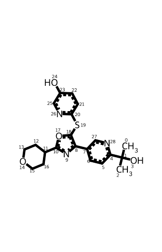 CC(C)(O)c1ccc(-c2nc(C3CCOCC3)oc2Sc2ccc(O)cn2)cn1